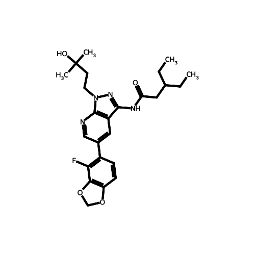 CCC(CC)CC(=O)Nc1nn(CCC(C)(C)O)c2ncc(-c3ccc4c(c3F)OCO4)cc12